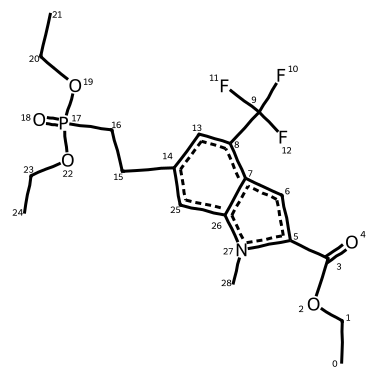 CCOC(=O)c1cc2c(C(F)(F)F)cc(CCP(=O)(OCC)OCC)cc2n1C